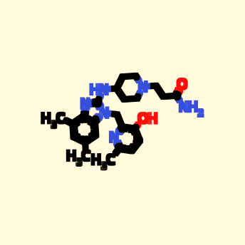 Cc1cc(C)c2nc(NC3CCN(CCC(N)=O)CC3)n(Cc3nc(C)ccc3O)c2c1